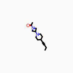 CCC#CC1CCN(C2CN(C(C)=O)C2)CC1